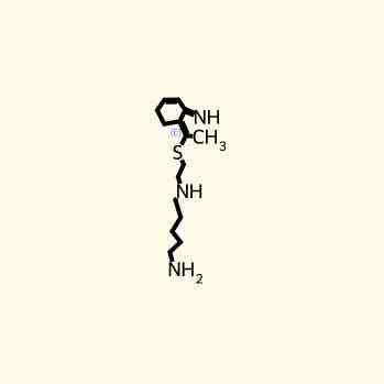 C/C(SCCNCCCCCN)=C1/CCC=CC1=N